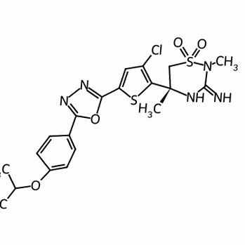 CC(C)Oc1ccc(-c2nnc(-c3cc(Cl)c([C@]4(C)CS(=O)(=O)N(C)C(=N)N4)s3)o2)cc1